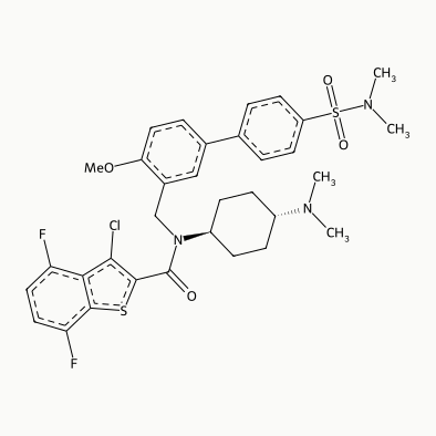 COc1ccc(-c2ccc(S(=O)(=O)N(C)C)cc2)cc1CN(C(=O)c1sc2c(F)ccc(F)c2c1Cl)[C@H]1CC[C@H](N(C)C)CC1